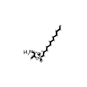 CCCCCCCCCCCCS(=O)(=O)OC(C)CN